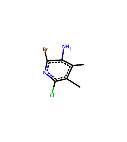 Cc1c(Cl)nc(Br)c(N)c1C